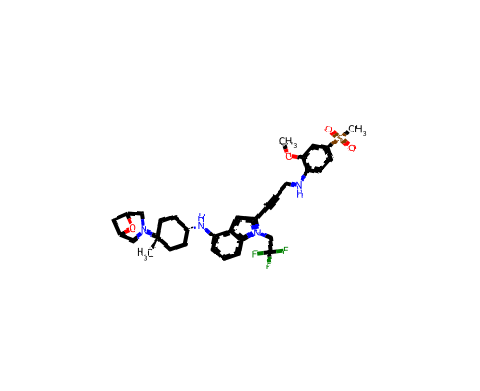 COc1cc(S(C)(=O)=O)ccc1NCC#Cc1cc2c(N[C@H]3CC[C@@](C)(N4CC5CC(C4)O5)CC3)cccc2n1CC(F)(F)F